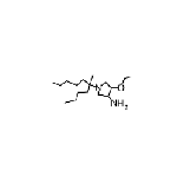 CCCCCC(C)(CCCC)N1CC(N)C(OCC)C1